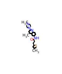 Cc1csc(CCC(=O)Nc2ccc3nc(N4CCN(C)CC4)cc(C)c3c2)c1